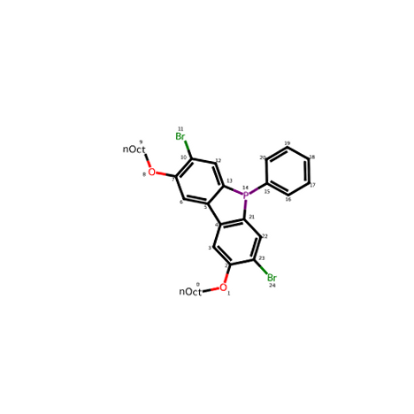 CCCCCCCCOc1cc2c3cc(OCCCCCCCC)c(Br)cc3p(-c3ccccc3)c2cc1Br